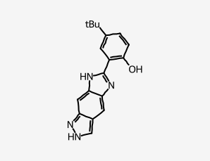 CC(C)(C)c1ccc(O)c(-c2nc3cc4c[nH]nc4cc3[nH]2)c1